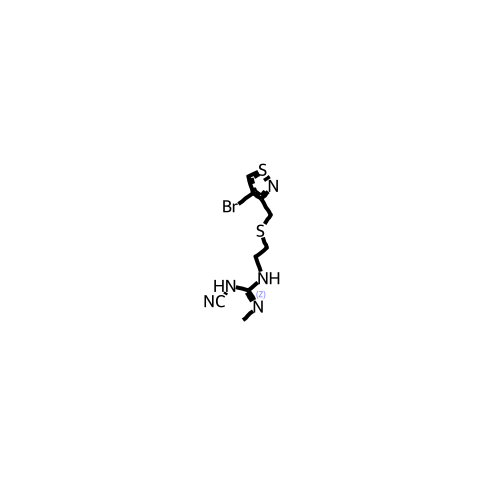 C/N=C(\NC#N)NCCSCc1nscc1Br